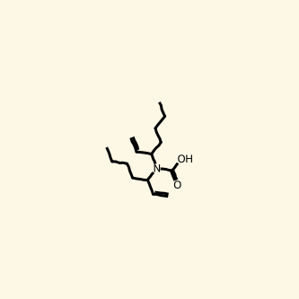 C=CC(CCCC)N(C(=O)O)C(C=C)CCCC